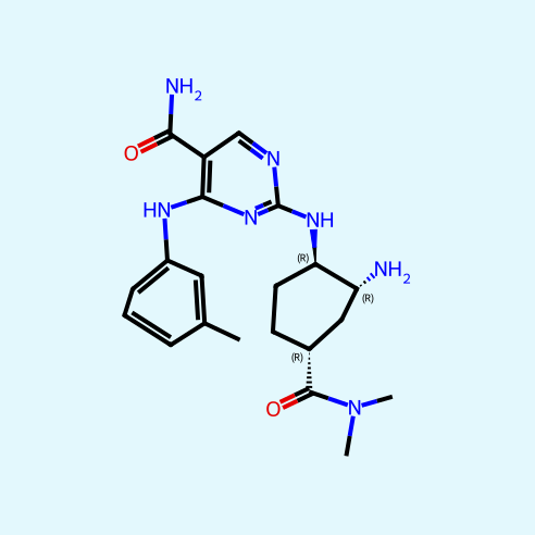 Cc1cccc(Nc2nc(N[C@@H]3CC[C@@H](C(=O)N(C)C)C[C@H]3N)ncc2C(N)=O)c1